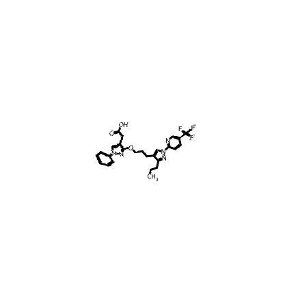 CCCc1nn(-c2ccc(C(F)(F)F)cn2)cc1CCCOc1nn(-c2ccccc2)cc1CC(=O)O